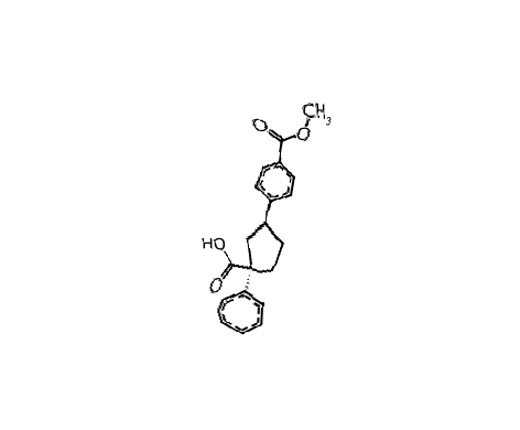 COC(=O)c1ccc([C@H]2CC[C@](C(=O)O)(c3ccccc3)C2)cc1